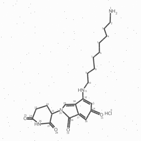 Cl.NCCCCCCCCCNC1=CC(=O)C=C2C(=O)N(C3CCC(=O)NC3=O)C=C12